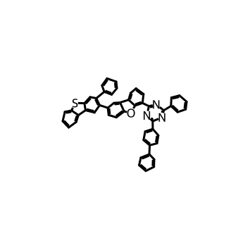 c1ccc(-c2ccc(-c3nc(-c4ccccc4)nc(-c4cccc5c4oc4ccc(-c6cc7c(cc6-c6ccccc6)sc6ccccc67)cc45)n3)cc2)cc1